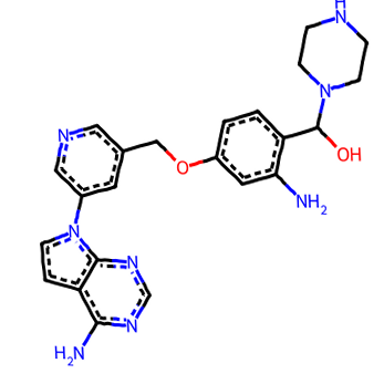 Nc1cc(OCc2cncc(-n3ccc4c(N)ncnc43)c2)ccc1C(O)N1CCNCC1